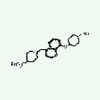 CCOC(=O)C1CCN(Cc2cccc3c(O[C@H]4CC[C@H](C(C)(C)C)CC4)cccc23)CC1